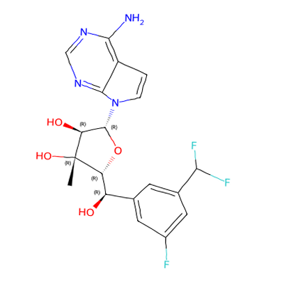 C[C@]1(O)[C@@H]([C@H](O)c2cc(F)cc(C(F)F)c2)O[C@@H](n2ccc3c(N)ncnc32)[C@@H]1O